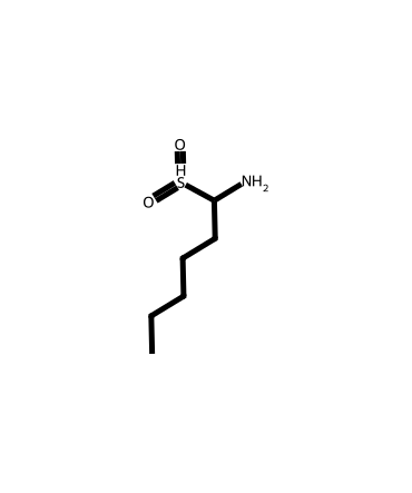 CCCCCC(N)[SH](=O)=O